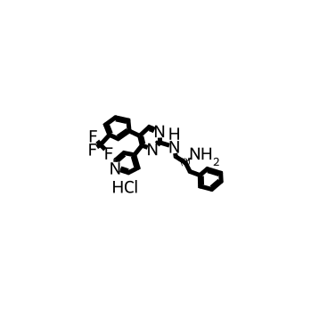 Cl.N[C@@H](CNc1ncc(-c2cccc(C(F)(F)F)c2)c(-c2ccncc2)n1)Cc1ccccc1